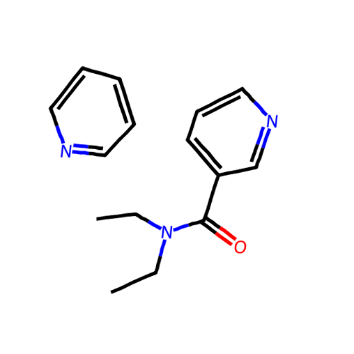 CCN(CC)C(=O)c1cccnc1.c1ccncc1